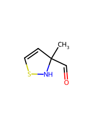 CC1(C=O)C=CSN1